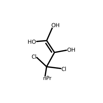 CCCC(Cl)(Cl)C(O)=C(O)O